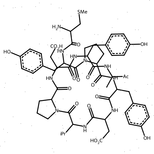 CSCC(N)C(=O)NC(Cc1ccc(O)cc1)C(=O)N1CCCC1C(=O)NC(Cc1ccc(O)cc1)C(=O)NC(CC(=O)O)C(=O)NC(C(=O)N1CCCC1C(=O)NC(CC(=O)O)C(=O)NC(Cc1ccc(O)cc1)C(=O)NC(C)C(C)=O)C(C)C